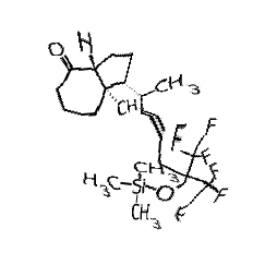 CC(C=CCC(O[Si](C)(C)C)(C(F)(F)F)C(F)(F)F)[C@H]1CC[C@H]2C(=O)CCC[C@]12C